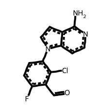 Nc1nccc2c1ccn2-c1ccc(F)c(C=O)c1Cl